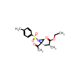 CCOC(=O)[C@H](C)C[C@@]1(C(C)=O)CN1S(=O)(=O)c1ccc(C)cc1